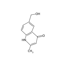 Cc1cc(=O)c2cc(CO)ccc2[nH]1